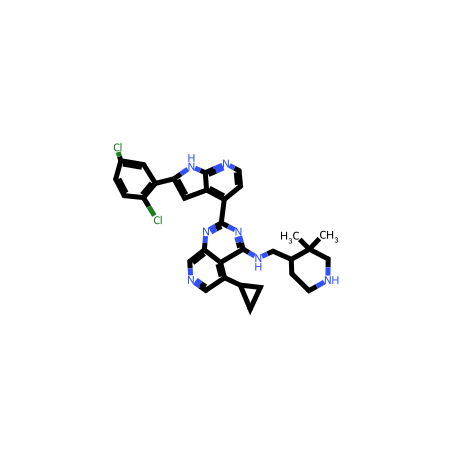 CC1(C)CNCCC1CNc1nc(-c2ccnc3[nH]c(-c4cc(Cl)ccc4Cl)cc23)nc2cncc(C3CC3)c12